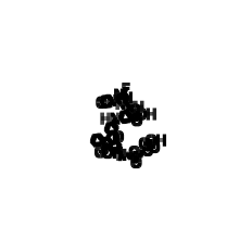 CN(CCS(=O)(=O)CCOS(=O)(=O)O)c1ccc2c(c1)Oc1cc(Nc3ccc(S(=O)(=O)O)c(Nc4nc(F)nc(N5CCOCC5)n4)c3)ccc1C2c1ccccc1S(=O)(=O)O